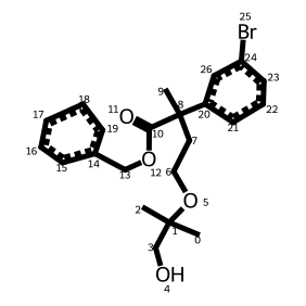 CC(C)(CO)OCCC(C)(C(=O)OCc1ccccc1)c1cccc(Br)c1